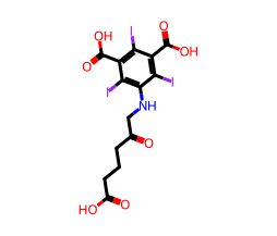 O=C(O)CCCC(=O)CNc1c(I)c(C(=O)O)c(I)c(C(=O)O)c1I